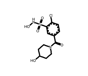 O=C(c1ccc(Cl)c(S(=O)(=O)NO)c1)N1CCC(O)CC1